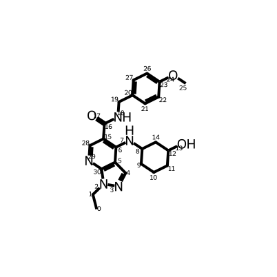 CCn1ncc2c(NC3CCCC(O)C3)c(C(=O)NCc3ccc(OC)cc3)cnc21